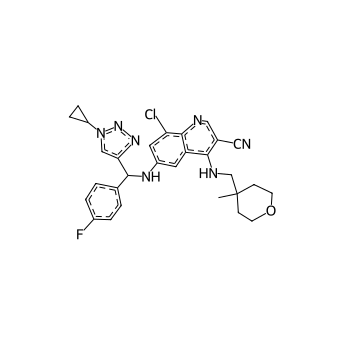 CC1(CNc2c(C#N)cnc3c(Cl)cc(NC(c4ccc(F)cc4)c4cn(C5CC5)nn4)cc23)CCOCC1